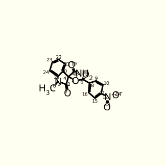 CN1C(=O)C(OC(=O)c2ccc([N+](=O)[O-])cc2)(C(N)=O)c2ccccc21